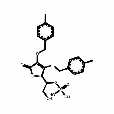 Cc1ccc(COC2=C(OCc3ccc(C)cc3)[C@@H]([C@H](CO)OP(=O)(O)O)OC2=O)cc1